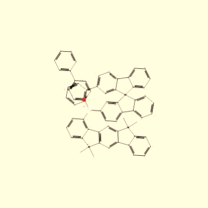 CC1(C)c2ccccc2-c2cc3c(cc21)-c1c(N(c2ccc(-c4ccccc4)cc2)c2ccc4c(c2)C2(c5ccccc5-c5ccc(-c6ccccc6)cc52)c2ccccc2-4)cccc1C3(C)C